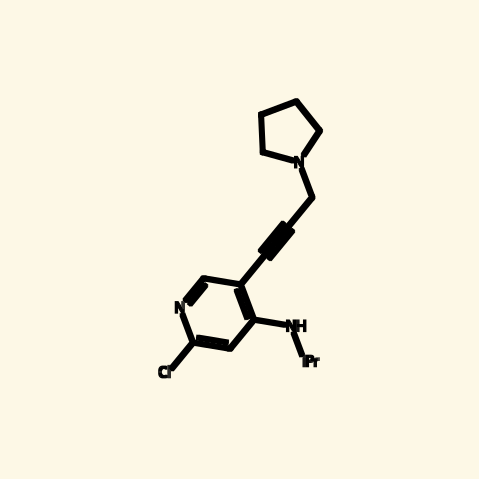 CC(C)Nc1cc(Cl)ncc1C#CCN1CCCC1